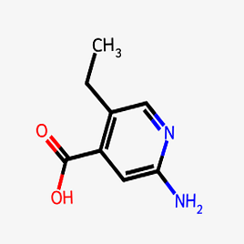 CCc1cnc(N)cc1C(=O)O